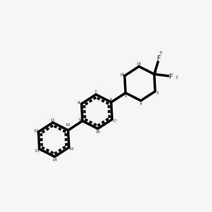 FC1(F)CCC(c2ccc(-c3ccccc3)cc2)CC1